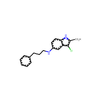 O=C(O)c1[nH]c2ccc(NCCCc3ccccc3)cc2c1Cl